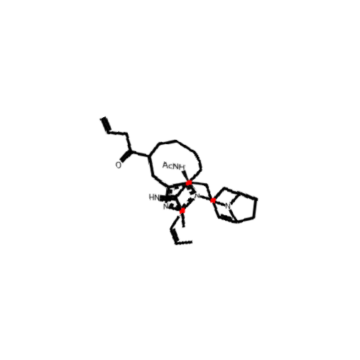 C=CCC(=O)C1CCCCc2c(nc(C)n2C2C=C3CCC(C2)N3CC[C@H](NC(C)=O)C(=N)S/C=C\C)C1